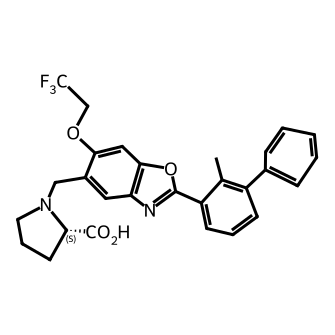 Cc1c(-c2ccccc2)cccc1-c1nc2cc(CN3CCC[C@H]3C(=O)O)c(OCC(F)(F)F)cc2o1